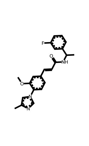 COc1cc(C=CC(=O)NC(C)c2cccc(F)c2)ccc1-n1cnc(C)c1